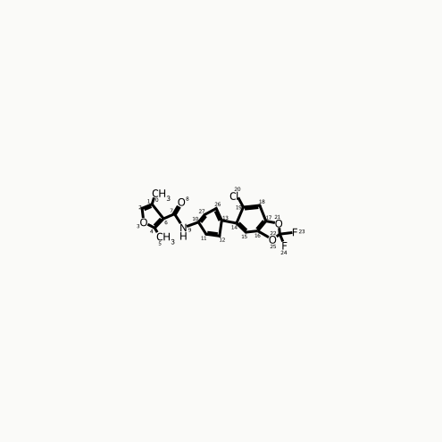 Cc1coc(C)c1C(=O)Nc1ccc(-c2cc3c(cc2Cl)OC(F)(F)O3)cc1